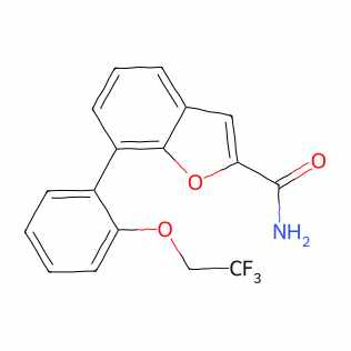 NC(=O)c1cc2cccc(-c3ccccc3OCC(F)(F)F)c2o1